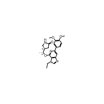 COc1ccc(-c2cc3ncn(CF)c3c(O[C@H](C)[C@H]3CNC(=O)C3)n2)cc1OC